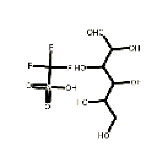 O=CC(O)C(O)C(O)C(O)CO.O=S(=O)(O)C(F)(F)F